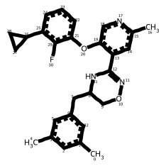 Cc1cc(C)cc(CC2CON=C(c3cc(C)ncc3Oc3cccc(C4CC4)c3F)N2)c1